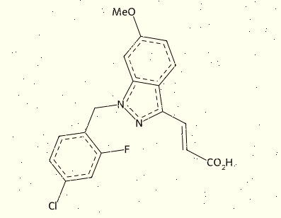 COc1ccc2c(/C=C/C(=O)O)nn(Cc3ccc(Cl)cc3F)c2c1